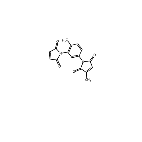 CC1=CC(=O)N(c2ccc(C)c(N3C(=O)C=CC3=O)c2)C1=O